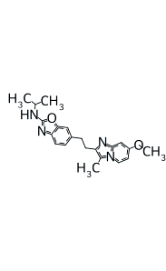 COc1ccn2c(C)c(CCc3ccc4nc(NC(C)C)oc4c3)nc2c1